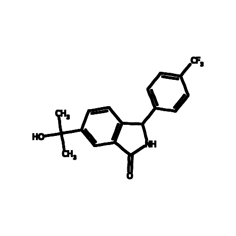 CC(C)(O)c1ccc2c(c1)C(=O)NC2c1ccc(C(F)(F)F)cc1